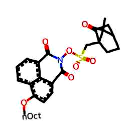 CCCCCCCCOc1ccc2c3c(cccc13)C(=O)N(OS(=O)(=O)CC13CCC(CC1=O)C3(C)C)C2=O